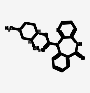 C[C@H]1CN(C)CC[C@H]1OC(=O)N1c2ccccc2C(=O)Nc2cccnc21